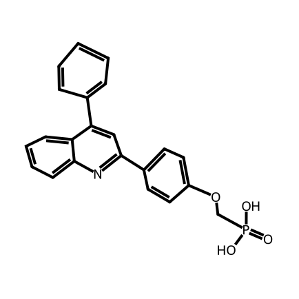 O=P(O)(O)COc1ccc(-c2cc(-c3ccccc3)c3ccccc3n2)cc1